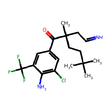 CC(C)(C)CCC(C)(CC=N)C(=O)c1cc(Cl)c(N)c(C(F)(F)F)c1